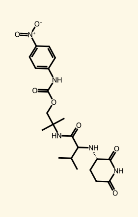 CC(C)C(N[C@H]1CCC(=O)NC1=O)C(=O)NC(C)(C)COC(=O)Nc1ccc([N+](=O)[O-])cc1